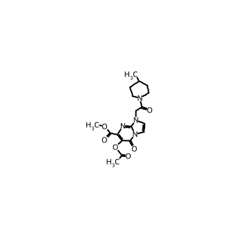 COC(=O)c1nc2n(CC(=O)N3CCC(C)CC3)ccn2c(=O)c1OC(C)=O